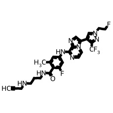 C#CCNCCCNC(=O)c1c(C)cc(Nc2nccn3c(-c4cn(CCF)nc4C(F)(F)F)cnc23)cc1F